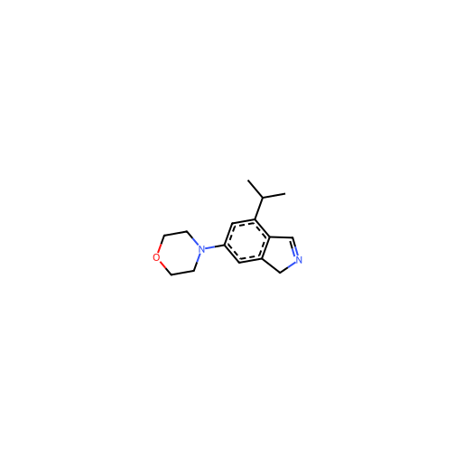 CC(C)c1cc(N2CCOCC2)cc2c1C=NC2